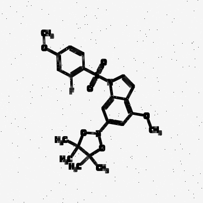 COc1ccc(S(=O)(=O)n2ccc3c(OC)cc(B4OC(C)(C)C(C)(C)O4)cc32)c(F)c1